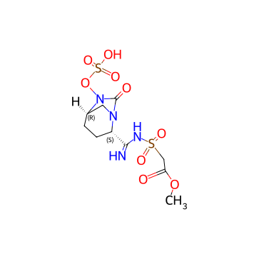 COC(=O)CS(=O)(=O)NC(=N)[C@@H]1CC[C@@H]2CN1C(=O)N2OS(=O)(=O)O